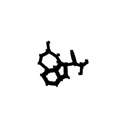 CN1CCc2cccc3oc(C(=O)N(C)C)c(c23)C1